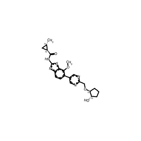 COc1c(-c2cnc(CO[C@H]3CCC[C@@H]3O)nc2)ccc2nc(NC(=O)[C@H]3C[C@@H]3C)sc12